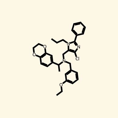 CCCn1c(-c2ccccc2)nc(Cl)c1CN(Cc1cccc(OCC)c1)C(C)c1ccc2c(c1)OCCO2